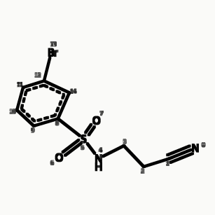 N#CCCNS(=O)(=O)c1cccc(Br)c1